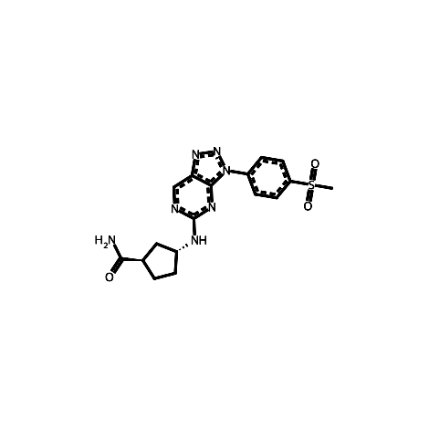 CS(=O)(=O)c1ccc(-n2nnc3cnc(N[C@@H]4CC[C@@H](C(N)=O)C4)nc32)cc1